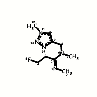 C/N=C(/CCF)N(C)Cc1cn(C)nn1